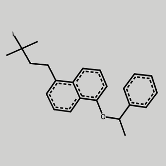 CC(Oc1cccc2c(CCC(C)(C)I)cccc12)c1ccccc1